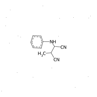 CC(C#N)C(C#N)Nc1ccccc1